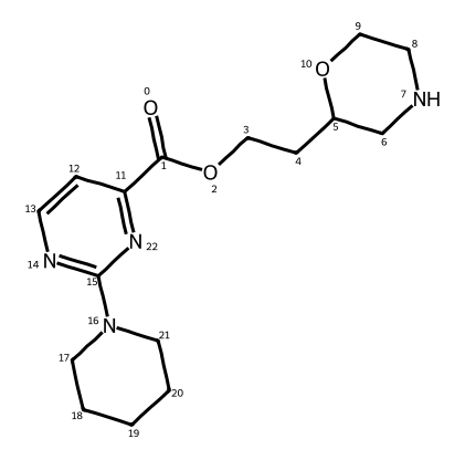 O=C(OCCC1CNCCO1)c1ccnc(N2CCCCC2)n1